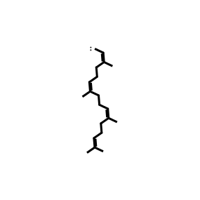 [CH]C=C(C)CCC=C(C)CCC=C(C)CCC=C(C)C